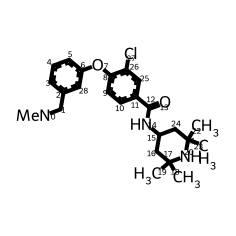 CNCc1cccc(Oc2ccc(C(=O)NC3CC(C)(C)NC(C)(C)C3)cc2Cl)c1